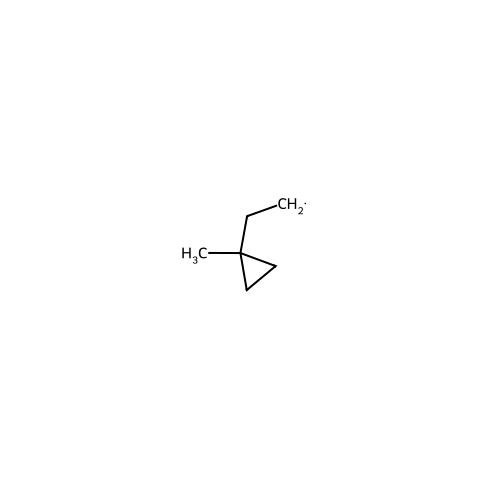 [CH2]CC1(C)CC1